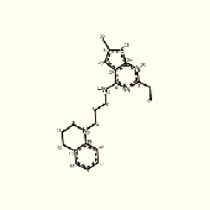 CCc1nc(NCCCN2CCCc3ccccc32)c2cc(C)sc2n1